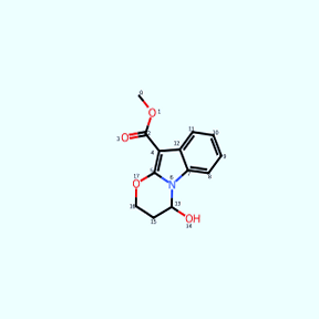 COC(=O)c1c2n(c3ccccc13)C(O)CCO2